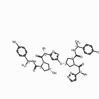 CC(C)[C@H](C(=O)N1C[C@H](Oc2cc([C@H](C(=O)N3C[C@H](O)C[C@H]3C(=O)N[C@@H](C)c3ccc(C#N)cc3)C(C)C)on2)C[C@H]1C(=O)N[C@@H](C)c1ccc(C#N)cc1)c1ccno1